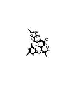 Cc1cc(C)cc(CN2C(=O)COc3c(Cl)cc(C=C4SC(=S)NC4=O)cc32)c1